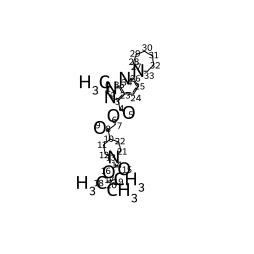 Cn1nc(C(=O)OCC(=O)C2CCN(C(=O)OC(C)(C)C)CC2)c2ccc(N3CCCCCC3)nc21